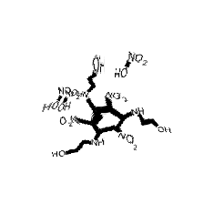 O=[N+]([O-])O.O=[N+]([O-])O.O=[N+]([O-])O.O=[N+]([O-])c1c(NCCO)c([N+](=O)[O-])c(NCCO)c([N+](=O)[O-])c1NCCO